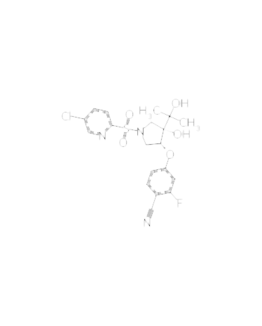 CC(C)(O)[C@]1(O)CN(S(=O)(=O)c2ccc(Cl)cn2)C[C@@H]1Oc1ccc(C#N)c(F)c1